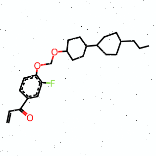 C=CC(=O)c1ccc(OCOC2CCC(C3CCC(CCC)CC3)CC2)c(F)c1